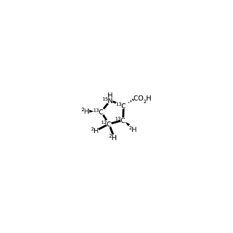 [2H][13C@@H]1[13C@@H]([13C](=O)O)[15NH][13C@H]([2H])[12C]1([2H])[2H]